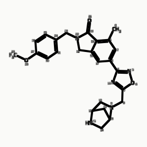 Cc1cc(-c2noc(CN3CC4CC3CN4)n2)cc2c1C(=O)N(Cc1ccc(OC(F)(F)F)cc1)C2